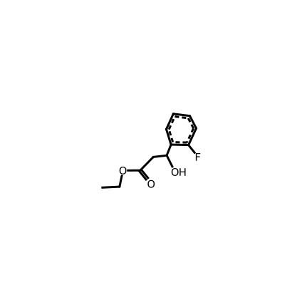 CCOC(=O)CC(O)c1ccccc1F